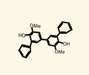 COc1cc(-c2cc(OC)c(O)c(-c3ccccc3)c2)cc(-c2ccccc2)c1O